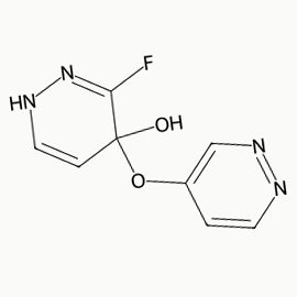 OC1(Oc2ccnnc2)C=CNN=C1F